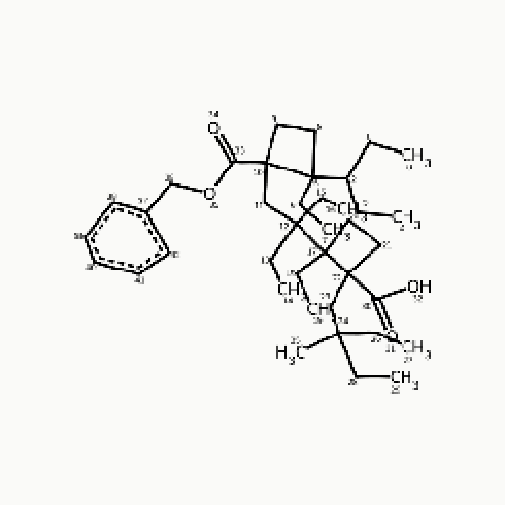 CCC(CC)C1(CC)CCC1(CC(CC)(CC)C1(CC)CCC1(CC(C)(CC)CC)C(=O)O)C(=O)OCc1ccccc1